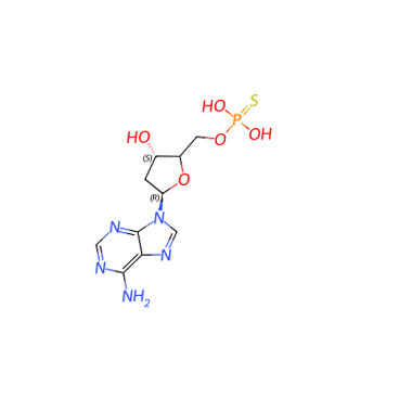 Nc1ncnc2c1ncn2[C@H]1C[C@H](O)C(COP(O)(O)=S)O1